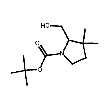 CC(C)(C)OC(=O)N1CCC(C)(C)C1CO